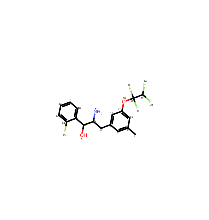 Cc1cc(CC(N)C(O)c2ccccc2F)cc(OC(F)(F)C(F)F)c1